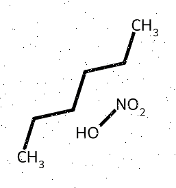 CCCCCC.O=[N+]([O-])O